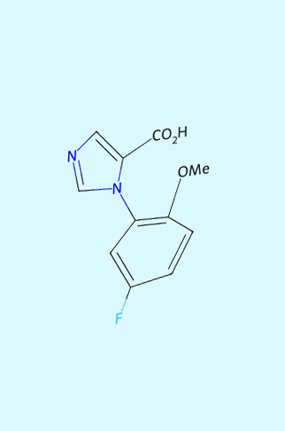 COc1ccc(F)cc1-n1cncc1C(=O)O